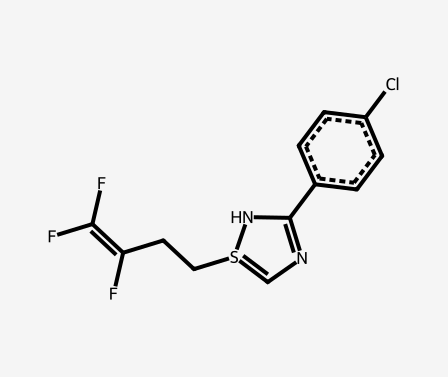 FC(F)=C(F)CCS1=CN=C(c2ccc(Cl)cc2)N1